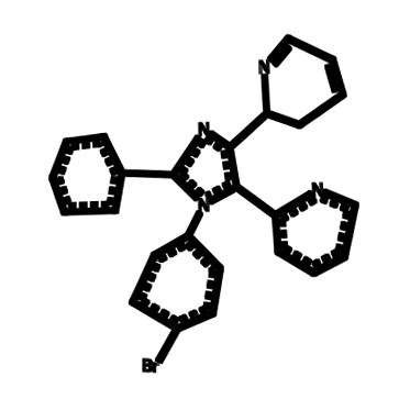 Brc1ccc(-n2c(-c3ccccc3)nc(C3CC=CC=N3)c2-c2ccccn2)cc1